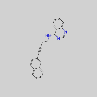 C(#Cc1ccc2ccccc2c1)CCNc1ncnc2ccccc12